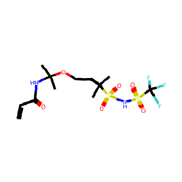 C=CC(=O)NC(C)(C)OCCC(C)(C)S(=O)(=O)NS(=O)(=O)C(F)(F)F